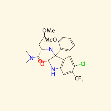 COc1ccccc1C1(N2C[C@H](OC)C[C@H]2C(=O)N(C)C)C(=O)Nc2cc(C(F)(F)F)c(Cl)cc21